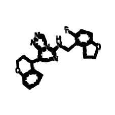 Fc1ccc2c(c1CNc1ncc(C3CCOc4ccccc43)c3nncn13)CCO2